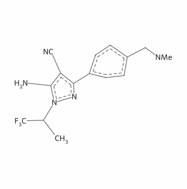 CNCc1ccc(-c2nn(C(C)C(F)(F)F)c(N)c2C#N)cc1